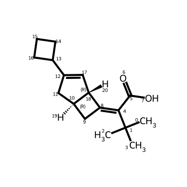 CC(C)(C)C(C(=O)O)=C1C[C@H]2CC(C3CCC3)=C[C@H]12